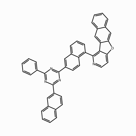 c1ccc(-c2nc(-c3ccc4ccccc4c3)nc(-c3ccc4c(-c5nccc6oc7cc8ccccc8cc7c56)cccc4c3)n2)cc1